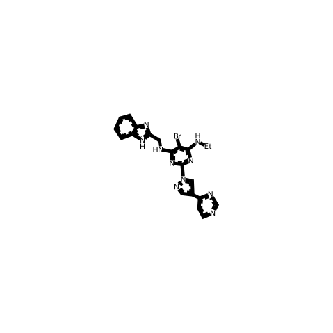 CCNc1nc(-n2cc(-c3ccncn3)cn2)nc(NCc2nc3ccccc3[nH]2)c1Br